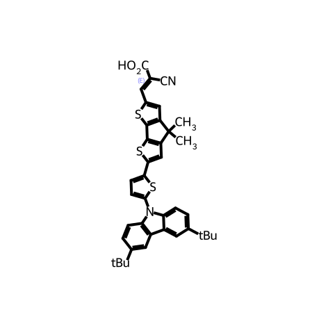 CC(C)(C)c1ccc2c(c1)c1cc(C(C)(C)C)ccc1n2-c1ccc(-c2cc3c(s2)-c2sc(/C=C(\C#N)C(=O)O)cc2C3(C)C)s1